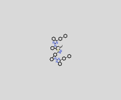 C=c1/c(=C\C(=C/C)c2nnc(-c3ccc4c5ccccc5n(-c5nc(-c6ccc(-c7ccccc7)cc6)c6ccccc6n5)c4c3)s2)n(-c2nc(-c3ccc(-c4ccccc4)cc3)c3ccccc3n2)c2ccccc12